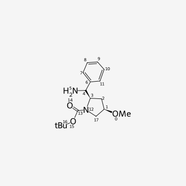 CO[C@@H]1C[C@H](C(N)c2ccccc2)N(C(=O)OC(C)(C)C)C1